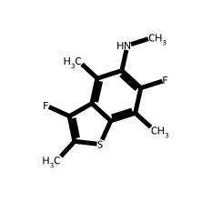 CNc1c(F)c(C)c2sc(C)c(F)c2c1C